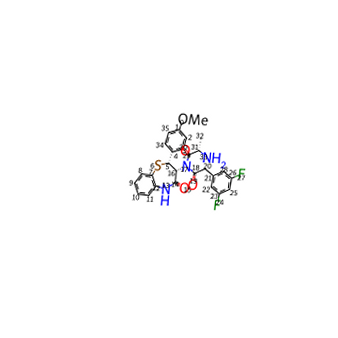 COc1ccc([C@H]2Sc3ccccc3NC(=O)[C@H]2N(C(=O)Cc2cc(F)cc(F)c2)C(=O)[C@H](C)N)cc1